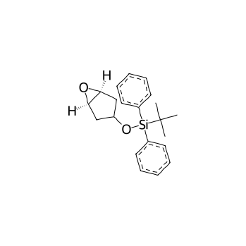 CC(C)(C)[Si](OC1C[C@@H]2O[C@@H]2C1)(c1ccccc1)c1ccccc1